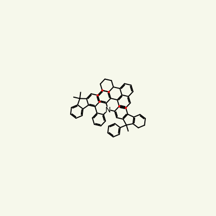 CC1(C)c2ccccc2-c2c(-c3ccccc3N(c3ccc4c(c3)C(C)(c3ccccc3)C3=C4C=CCC3)c3ccccc3-c3cccc4cccc(C5CCCCC5)c34)cccc21